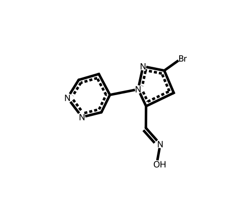 O/N=C/c1cc(Br)nn1-c1ccnnc1